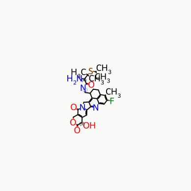 Cc1c(F)cc2nc3c(c4c2c1CCC4/C=N\C(=O)[C@@H](N)C(C)(C)SC(C)C)Cn1c-3cc2c(c1=O)COC(=O)[C@H]2O